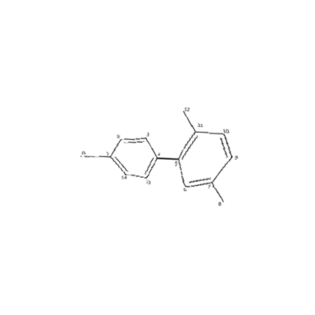 [CH2]c1ccc(-c2cc(C)ccc2C)cc1